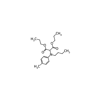 CCCCN(c1ccc(C)cc1)C(C(=O)OCCC)C(=O)OCCC